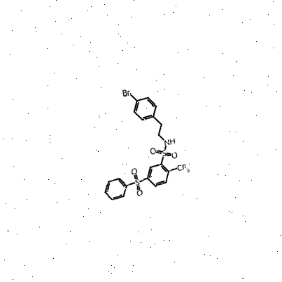 O=S(=O)(NCCc1ccc(Br)cc1)c1cc(S(=O)(=O)c2ccccc2)ccc1C(F)(F)F